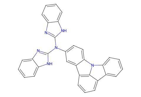 c1ccc2[nH]c(N(c3ccc4c(c3)c3cccc5c6ccccc6n4c53)c3nc4ccccc4[nH]3)nc2c1